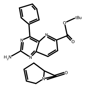 CC(C)(C)OC(=O)c1ccc2nc(N)nc(-c3ccccc3)c2n1.O=C1C2CC=CCN12